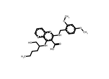 CCCCC(CO)Nc1c(C(=O)O)c(NCc2ccc(OC)cc2OC)nc2cccnc12